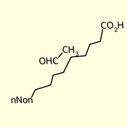 CC=O.CCCCCCCCCCCCCCCCCC(=O)O